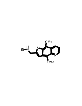 CCNCc1cc2c(OC)c3ncccc3c(OC)c2s1